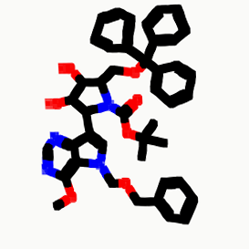 COc1ncnc2c(C3C(O)C(O)C(COC(c4ccccc4)(c4ccccc4)c4ccccc4)N3C(=O)OC(C)(C)C)cn(COCc3ccccc3)c12